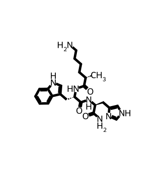 C[C@@H](CCCCN)C(=O)N[C@@H](Cc1c[nH]c2ccccc12)C(=O)N[C@@H](Cc1c[nH]cn1)C(N)=O